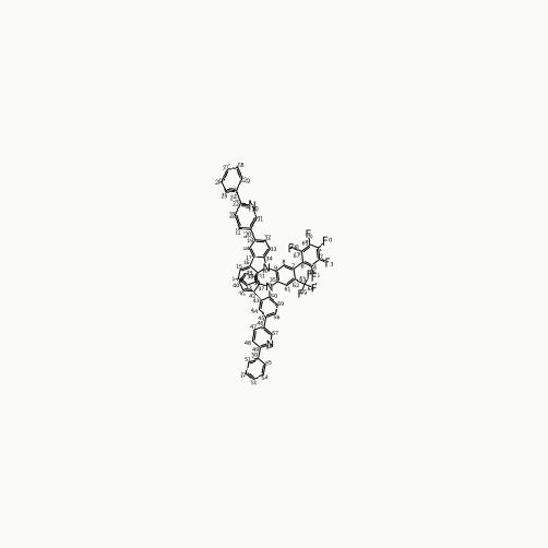 Fc1c(F)c(F)c(-c2cc(-n3c4ccccc4c4cc(-c5ccc(-c6ccccc6)nc5)ccc43)c(-n3c4ccccc4c4cc(-c5ccc(-c6ccccc6)nc5)ccc43)cc2C(F)(F)F)c(F)c1F